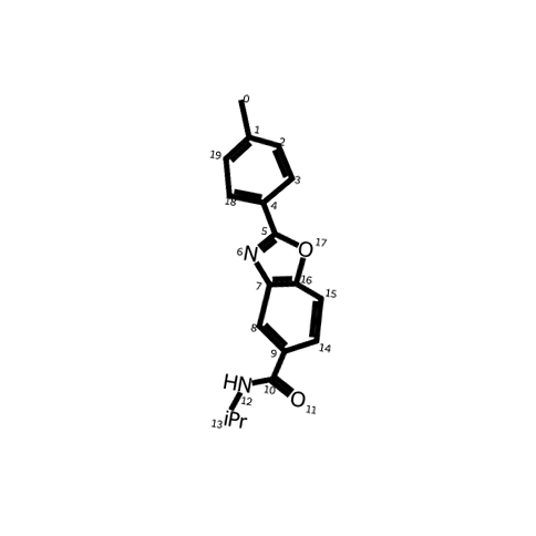 Cc1ccc(-c2nc3cc(C(=O)NC(C)C)ccc3o2)cc1